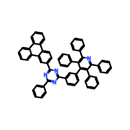 c1ccc(-c2nc(-c3cccc(-c4c(-c5ccccc5)c(-c5ccccc5)nc(-c5ccccc5)c4-c4ccccc4)c3)nc(-c3ccc4c5ccccc5c5ccccc5c4c3)n2)cc1